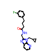 O=C(CCCc1cccc(F)c1)NCc1nc2cccnc2n1CC1CC1